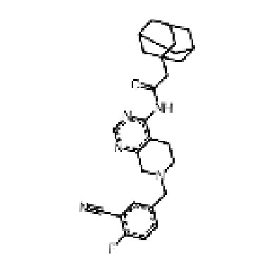 N#Cc1cc(CN2CCc3c(ncnc3NC(=O)CC34CC5CC(CC(C5)C3)C4)C2)ccc1F